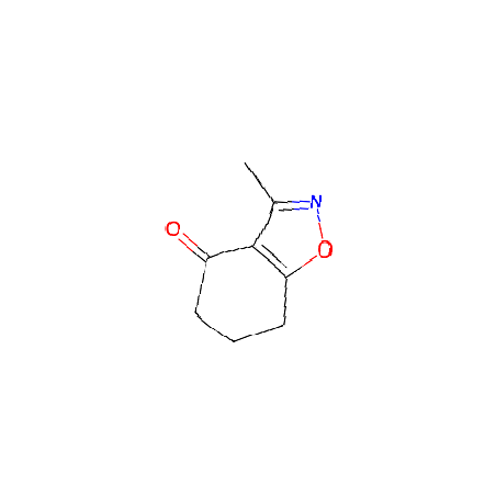 Cc1noc2c1C(=O)CCC2